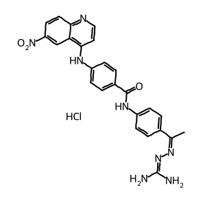 C/C(=N/N=C(N)N)c1ccc(NC(=O)c2ccc(Nc3ccnc4ccc([N+](=O)[O-])cc34)cc2)cc1.Cl